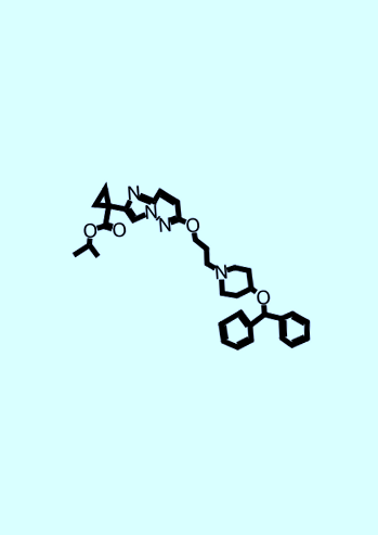 CC(C)OC(=O)C1(c2cn3nc(OCCCN4CCC(OC(c5ccccc5)c5ccccc5)CC4)ccc3n2)CC1